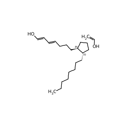 C=CO.CCCCCCCC[C@H]1CCC[C@@H]1CCCC=CC=CO